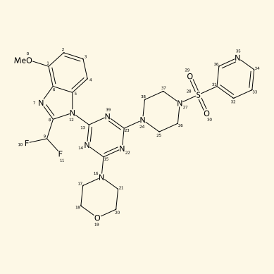 COc1cccc2c1nc(C(F)F)n2-c1nc(N2CCOCC2)nc(N2CCN(S(=O)(=O)c3cccnc3)CC2)n1